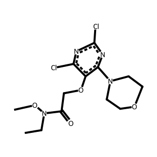 CCN(OC)C(=O)COc1c(Cl)nc(Cl)nc1N1CCOCC1